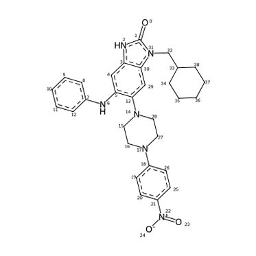 O=c1[nH]c2cc(Nc3ccccc3)c(N3CCN(c4ccc([N+](=O)[O-])cc4)CC3)cc2n1CC1CCCCC1